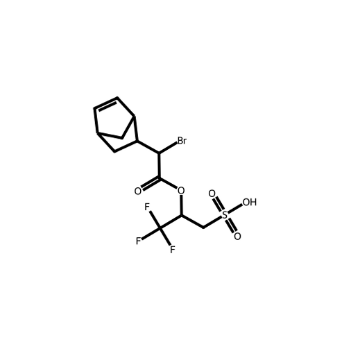 O=C(OC(CS(=O)(=O)O)C(F)(F)F)C(Br)C1CC2C=CC1C2